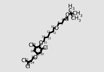 CC(C)(C)ON=CCCOCCCCCCOc1c(Cl)cc(OCC=C(Cl)Cl)cc1Cl